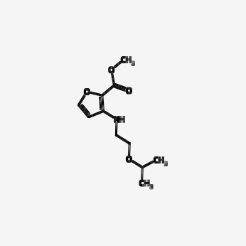 COC(=O)c1occc1NCCOC(C)C